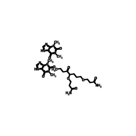 CCCC(=O)C(CCCOCCC(N)=O)OCCC(N)=O.Cn1c(=O)c2[nH]cnc2n(C)c1=O.Cn1c(=O)c2[nH]cnc2n(C)c1=O